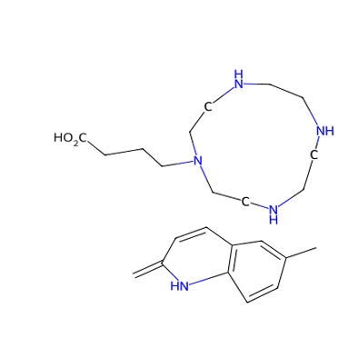 C=C1C=Cc2cc(C)ccc2N1.O=C(O)CCCN1CCNCCNCCNCC1